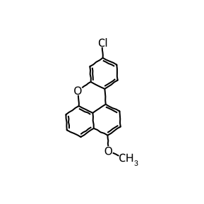 COc1ccc2c3c(cccc13)Oc1cc(Cl)ccc1-2